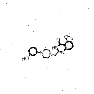 Cc1cccc2nc(CN3CCN(c4cccc(O)c4)CC3)[nH]c(=O)c12